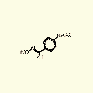 CC(=O)Nc1ccc(C(Cl)=NO)cc1